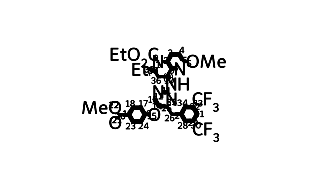 CCOC(=O)N1c2ccc(OC)nc2[C@@H](Nc2ncc(Oc3ccc(C(=O)OC)cc3)c(Cc3cc(C(F)(F)F)cc(C(F)(F)F)c3)n2)C[C@H]1CC